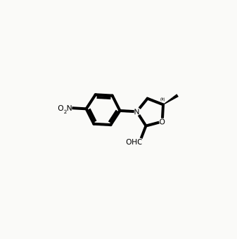 C[C@@H]1CN(c2ccc([N+](=O)[O-])cc2)C(C=O)O1